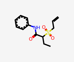 C=CCS(=O)(=O)C(CC)C(=O)Nc1ccccc1